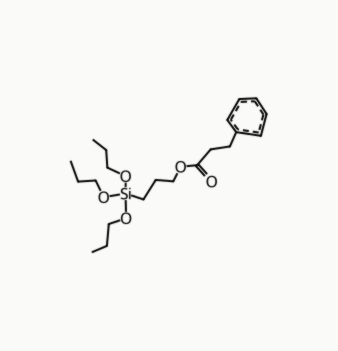 CCCO[Si](CCCOC(=O)CCc1ccccc1)(OCCC)OCCC